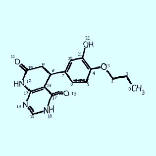 CCCOc1ccc(C2CC(=O)Nc3nc[nH]c(=O)c32)cc1O